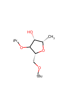 CC(C)OC1[C@@H](COC(C)(C)C)O[C@@H](C)[C@H]1O